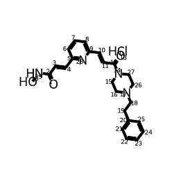 Cl.O=C(C=Cc1cccc(C=CC(=O)N2CCN(CCc3ccccc3)CC2)n1)NO